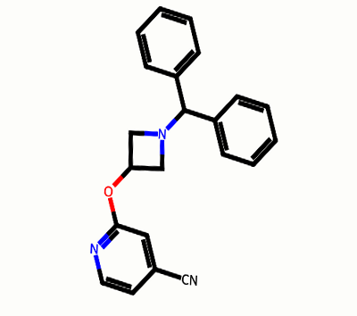 N#Cc1ccnc(OC2CN(C(c3ccccc3)c3ccccc3)C2)c1